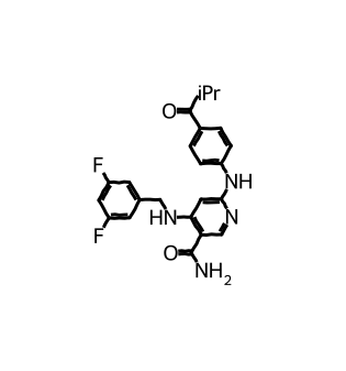 CC(C)C(=O)c1ccc(Nc2cc(NCc3cc(F)cc(F)c3)c(C(N)=O)cn2)cc1